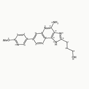 COc1ccc(-c2ccc3c(c2)nc(N)c2nc(CCCO)[nH]c23)cn1